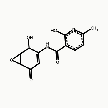 Cc1ccc(C(=O)NC2=CC(=O)C3OC3C2O)c(O)n1